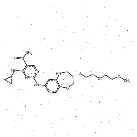 COCCOCCO[C@H]1CNc2cc(Nc3ncc(C(N)=O)c(NC4CC4)n3)ccc2OC1